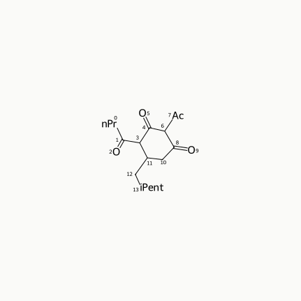 CCCC(=O)C1C(=O)C(C(C)=O)C(=O)CC1CC(C)CCC